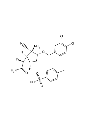 Cc1ccc(S(=O)(=O)O)cc1.N#C[C@@]1(N)[C@H]2[C@@H](C[C@H]1OCc1ccc(Cl)c(Cl)c1)[C@]2(F)C(N)=O